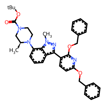 C[C@H]1CN(C(=O)OC(C)(C)C)CCN1c1cccc2c(-c3ccc(OCc4ccccc4)nc3OCc3ccccc3)nn(C)c12